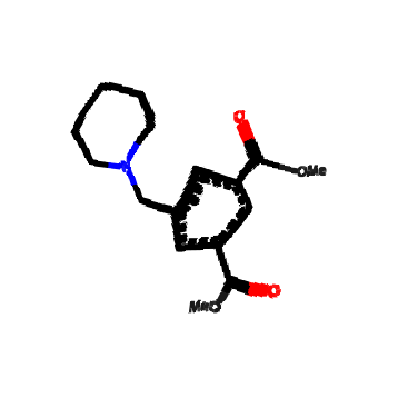 COC(=O)c1cc(CN2CCCCC2)cc(C(=O)OC)c1